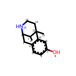 CC1C2Cc3ccc(O)cc3C1(C)CCN2